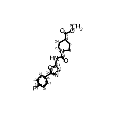 COC(=O)C1CCN(C(=O)Nc2nnc(-c3ccc(F)cc3)o2)CC1